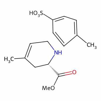 COC(=O)[C@@H]1CC(C)=CCN1.Cc1ccc(S(=O)(=O)O)cc1